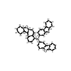 c1ccc2c(c1)oc1ccc(N(c3ccc4c(c3)sc3ccccc34)c3cccc4c3ccc3oc5ccccc5c34)cc12